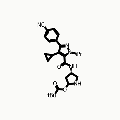 CC(C)n1nc(-c2ccc(C#N)cc2)c(C2CC2)c1C(=O)N[C@H]1CNC(OC(=O)C(C)(C)C)C1